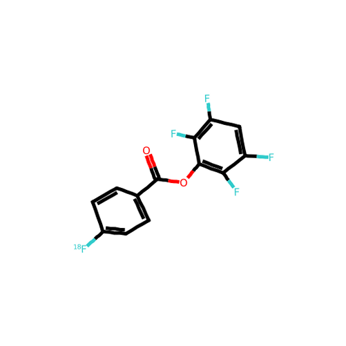 O=C(Oc1c(F)c(F)cc(F)c1F)c1ccc([18F])cc1